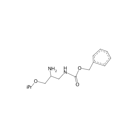 CC(C)OCC(N)CNC(=O)OCc1ccccc1